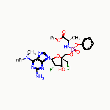 CCCN(C)c1nc(N)nc2c1ncn2[C@@H]1O[C@](CCl)(CO[P@](=O)(N[C@@H](C)C(=O)OC(C)C)Oc2ccccc2)[C@@H](O)[C@@H]1F